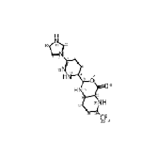 O=C1OC(C2CCC(N3CCNC3)=NN2)NC2CCC(C(F)(F)F)NC12